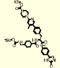 Cc1cc(N2CCN(C(=O)OC(C)(C)C)CC2)ncc1-c1ccc(C[C@H](NC(=O)C2CCC(CNC(=O)OC(C)(C)C)CC2)C(=O)Nc2ccc(-c3nnc(Cl)[nH]3)cc2)cc1